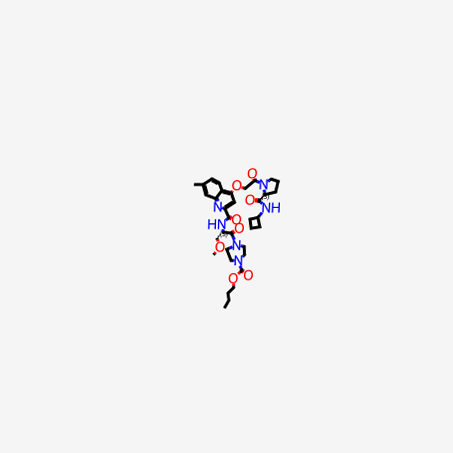 CCCCOC(=O)N1CCN(C(=O)[C@H](COC)NC(=O)c2cc(OCC(=O)N3CCC[C@H]3C(=O)NC3CCC3)c3ccc(C)cc3n2)CC1